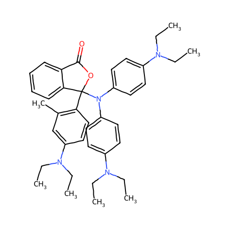 CCN(CC)c1ccc(N(c2ccc(N(CC)CC)cc2)C2(c3ccc(N(CC)CC)cc3C)OC(=O)c3ccccc32)cc1